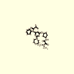 CN(C)C(=O)C(=O)N[C@H]1CC[C@H](Oc2cc(-n3c(C(F)F)nc4ccccc43)nc(N3CCOCC3)n2)C1